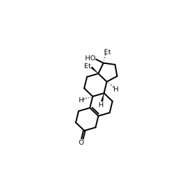 CC[C@]1(O)CC[C@H]2[C@@H]3CCC4=C(CCC(=O)C4)[C@H]3CC[C@@]21CC